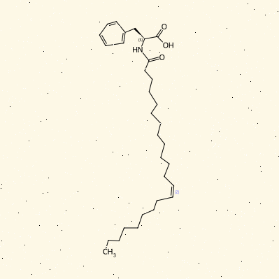 CCCCCCCC/C=C\CCCCCCCCCCCC(=O)N[C@@H](Cc1ccccc1)C(=O)O